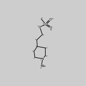 CC(C)(C)N1CCC(CCOS(C)(=O)=O)CC1